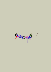 COc1ccc(NC(=O)N[C@H]2CC[C@H](N3CCN(c4ccccc4OC(C)C)CC3)CC2)cc1Cl